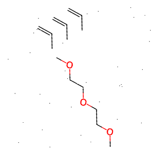 C=CC.C=CC.C=CC.COCCOCCOC